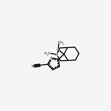 COC1(c2ccc(C#N)s2)C2CCCC1CN(C)C2